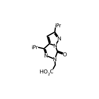 CC(C)c1cc2c(C(C)C)nn(CC(=O)O)c(=O)n2n1